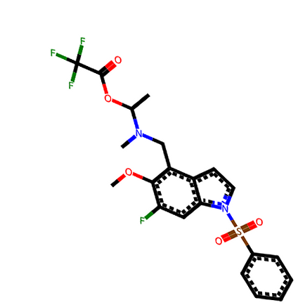 COc1c(F)cc2c(ccn2S(=O)(=O)c2ccccc2)c1CN(C)C(C)OC(=O)C(F)(F)F